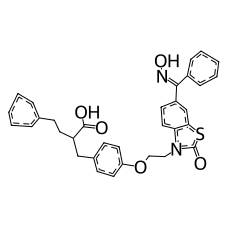 O=C(O)C(CCc1ccccc1)Cc1ccc(OCCn2c(=O)sc3cc(C(=NO)c4ccccc4)ccc32)cc1